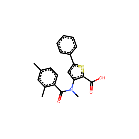 Cc1ccc(C(=O)N(C)c2cc(-c3ccccc3)sc2C(=O)O)c(C)c1